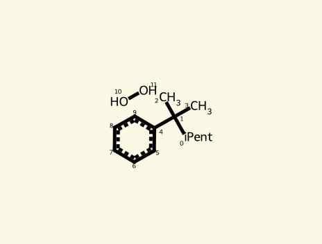 CCCC(C)C(C)(C)c1ccccc1.OO